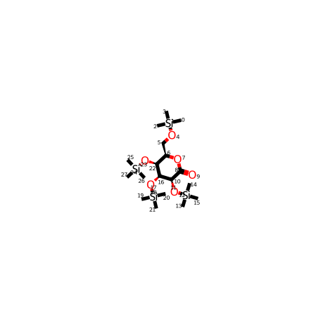 C[Si](C)(C)OC[C@H]1OC(=O)[C@@H](O[Si](C)(C)C)[C@@H](O[Si](C)(C)C)[C@H]1O[Si](C)(C)C